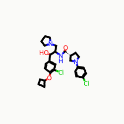 O=C(NC(CN1CCCC1)C(O)c1ccc(OC2CCC2)c(Cl)c1)[C@@H]1CCN(c2ccc(Cl)cc2)C1